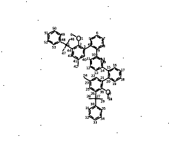 COc1c(-c2ccccc2-c2cccc(-c3ccccc3-c3cc(C)cc(C(C)(C)c4ccccc4)c3OC)n2)cc(C)cc1C(C)(C)c1ccccc1